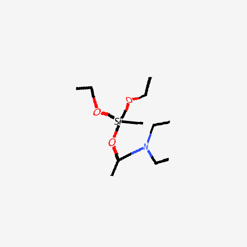 CCO[Si](C)(OCC)OC(C)N(CC)CC